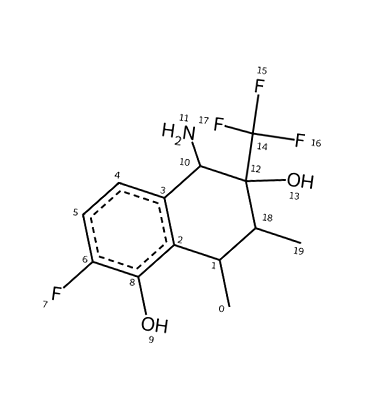 CC1c2c(ccc(F)c2O)C(N)C(O)(C(F)(F)F)C1C